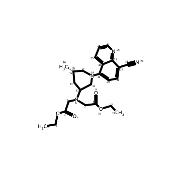 CCOC(=O)CN(CC(=O)OCC)C1C[C@H](C)CN(c2ccc(C#N)c3ncccc23)C1